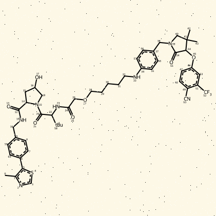 Cc1ncsc1-c1ccc(CNC(=O)C2CC(O)CN2C(=O)C(NC(=O)COCCCCCNc2ccc(CN3CC(C)(C)C(Oc4ccc(C#N)c(C(F)(F)F)c4)C3=O)cc2)C(C)(C)C)cc1